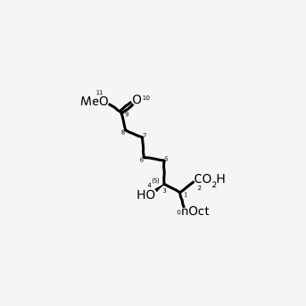 CCCCCCCCC(C(=O)O)[C@@H](O)CCCCC(=O)OC